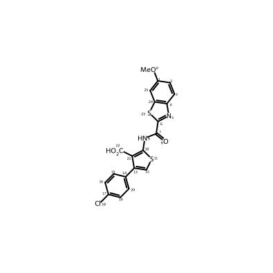 COc1ccc2nc(C(=O)Nc3scc(-c4ccc(Cl)cc4)c3C(=O)O)sc2c1